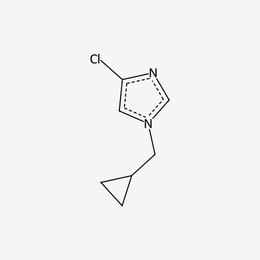 Clc1cn(CC2CC2)cn1